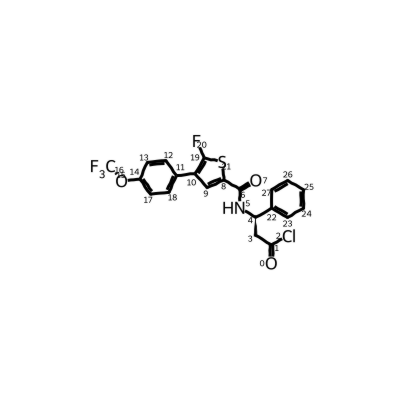 O=C(Cl)C[C@@H](NC(=O)c1cc(-c2ccc(OC(F)(F)F)cc2)c(F)s1)c1ccccc1